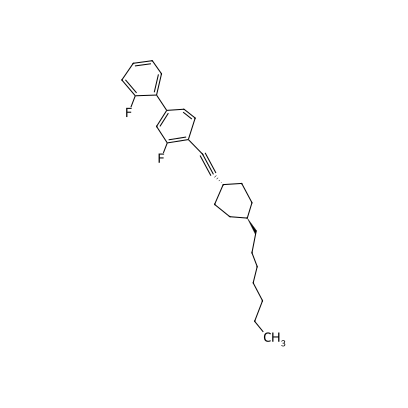 CCCCCCC[C@H]1CC[C@H](C#Cc2ccc(-c3ccccc3F)cc2F)CC1